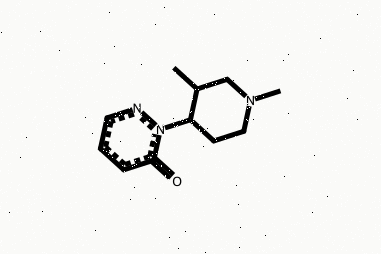 CC1CN(C)CCC1n1ncccc1=O